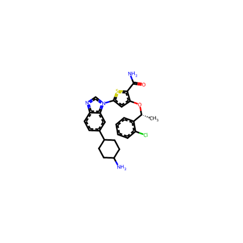 C[C@@H](Oc1cc(-n2cnc3ccc(C4CCC(N)CC4)cc32)sc1C(N)=O)c1ccccc1Cl